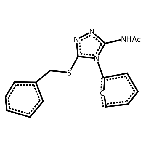 CC(=O)Nc1nnc(SCc2ccccc2)n1-c1ccccc1